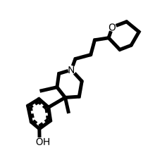 CC1CN(CCCC2CCCCO2)CCC1(C)c1cccc(O)c1